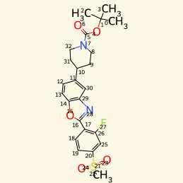 CC(C)(C)OC(=O)N1CCC(c2ccc3oc(-c4ccc(S(C)(=O)=O)cc4F)nc3c2)CC1